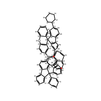 c1ccc(C2(c3ccccc3)c3ccccc3-c3ccc(N(c4ccc5c(c4)C4(c6ccccc6O5)c5cc(C6CCCCC6)ccc5-c5ccc(C6CCCCC6)cc54)c4cccc5ccccc45)cc32)cc1